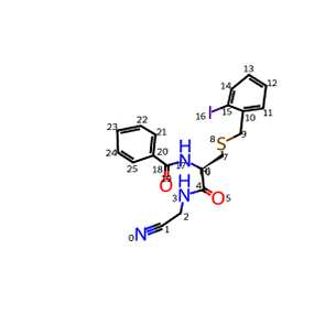 N#CCNC(=O)[C@H](CSCc1ccccc1I)NC(=O)c1ccccc1